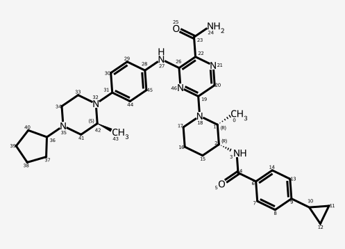 C[C@@H]1[C@H](NC(=O)c2ccc(C3CC3)cc2)CCCN1c1cnc(C(N)=O)c(Nc2ccc(N3CCN(C4CCCC4)C[C@@H]3C)cc2)n1